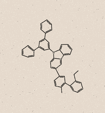 CCc1ccccc1-c1cc(-c2ccc3c(c2)c2ccccc2n3-c2cc(-c3ccccc3)cc(-c3ccccc3)c2)ccc1C